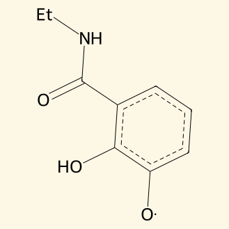 CCNC(=O)c1cccc([O])c1O